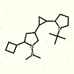 CN(C)N1CC(C2CC2C2CCCN2C(C)(C)C)CC1C1CCC1